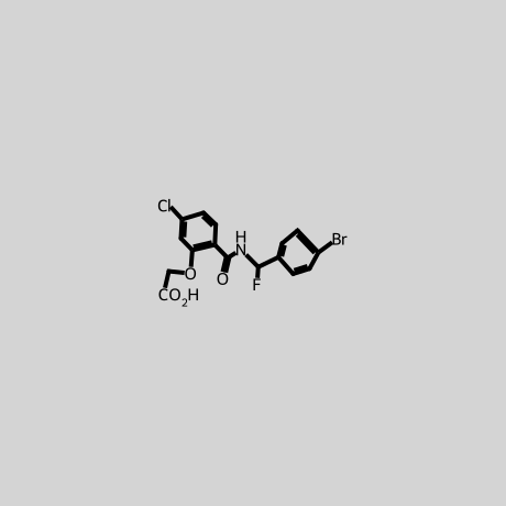 O=C(O)COc1cc(Cl)ccc1C(=O)NC(F)c1ccc(Br)cc1